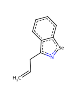 C=CCc1n[se]c2ccccc12